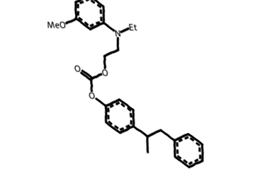 CCN(CCOC(=O)Oc1ccc(C(C)Cc2ccccc2)cc1)c1cccc(OC)c1